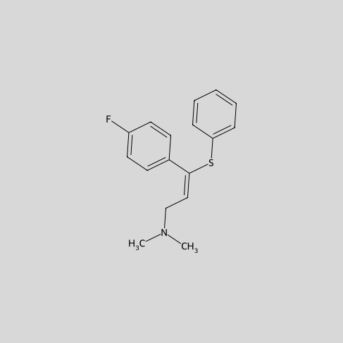 CN(C)CC=C(Sc1ccccc1)c1ccc(F)cc1